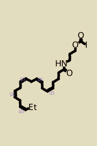 CC/C=C\C/C=C\C/C=C\C/C=C\C/C=C\CCCC(=O)NCCCOC(=O)I